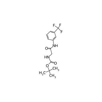 CC(C)(C)OC(=O)NCC(=O)Nc1cccc(C(F)(F)F)c1